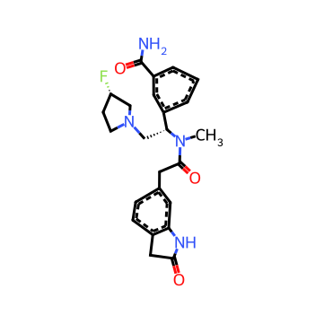 CN(C(=O)Cc1ccc2c(c1)NC(=O)C2)[C@H](CN1CC[C@H](F)C1)c1cccc(C(N)=O)c1